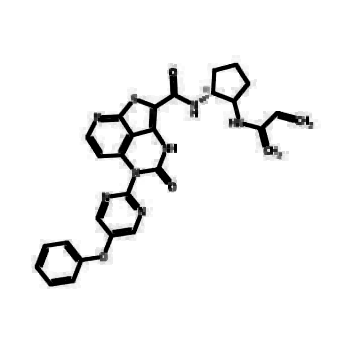 C=CC(=C)NC1CCC[C@H]1NC(=O)c1sc2nccc3c2c1NC(=O)N3c1ncc(Oc2ccccc2)cn1